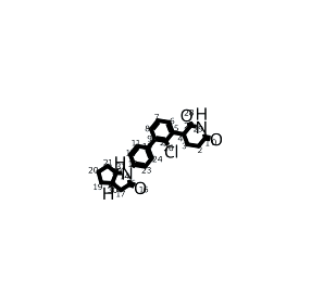 O=C1CCC(c2cccc(-c3ccc(N4C(=O)C[C@@H]5CCC[C@@H]54)cc3)c2Cl)C(=O)N1